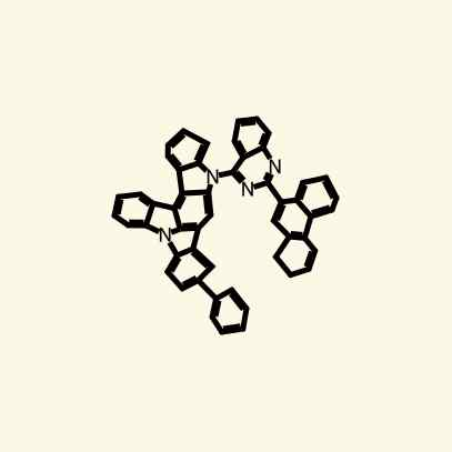 C1=Cc2c(cc(-c3nc(-n4c5ccccc5c5c6c7ccccc7n7c8ccc(-c9ccccc9)cc8c(cc54)c67)c4ccccc4n3)c3ccccc23)CC1